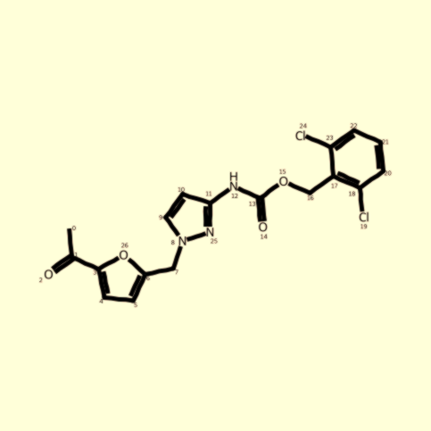 CC(=O)c1ccc(Cn2ccc(NC(=O)OCc3c(Cl)cccc3Cl)n2)o1